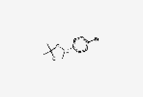 CC1(C)OC[C@@H](c2ccc(Br)cc2)O1